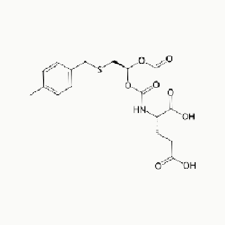 Cc1ccc(CSC[C@@H](OC=O)OC(=O)N[C@@H](CCC(=O)O)C(=O)O)cc1